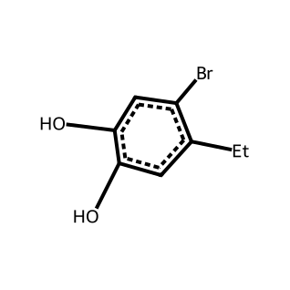 CCc1cc(O)c(O)cc1Br